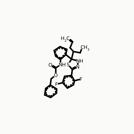 C=CCC(CC)C1(c2ccccc2NC(=O)OCc2ccccc2)NN=C(c2cc(F)ccc2F)S1